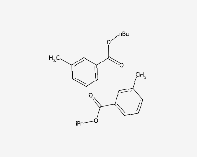 CCCCOC(=O)c1cccc(C)c1.Cc1cccc(C(=O)OC(C)C)c1